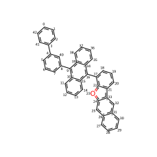 c1ccc(-c2cccc(-c3c4ccccc4c(-c4cccc5c4oc4cc6ccccc6cc45)c4ccccc34)c2)cc1